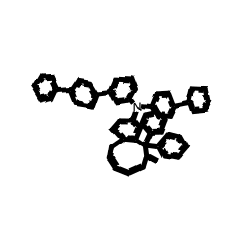 C=C1/C=C\C=C/Cc2ccc(N(c3ccc(-c4ccccc4)cc3)c3cccc(-c4ccc(-c5ccccc5)cc4)c3)cc2C1(c1ccccc1)c1ccccc1